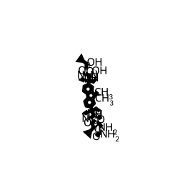 CC1(C)c2cc(C34CCN(O)[C@@]3(OC(=O)[C@@H](O)C3CC3)c3ncc4[nH]3)ccc2-c2ccc(C34CCN(OC(N)=O)[C@@]3(OC(=O)[C@@H](OC(N)=O)C3CC3)c3ncc4[nH]3)cc21